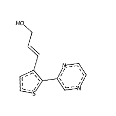 OCC=Cc1ccsc1-c1cnccn1